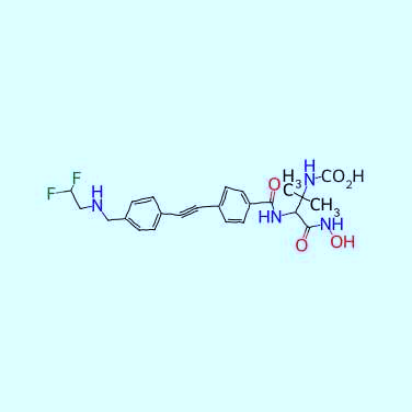 CC(C)(NC(=O)O)C(NC(=O)c1ccc(C#Cc2ccc(CNCC(F)F)cc2)cc1)C(=O)NO